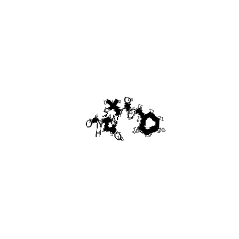 CC1(C)SC2(NC=O)CC(=O)N2[C@H]1C(=O)OCc1ccccc1